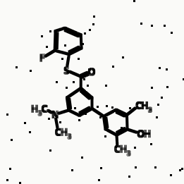 Cc1cc(-c2cc(C(=O)Sc3ccccc3F)cc(N(C)C)c2)cc(C)c1O